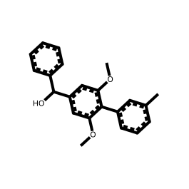 COc1cc(C(O)c2ccccc2)cc(OC)c1-c1cccc(C)c1